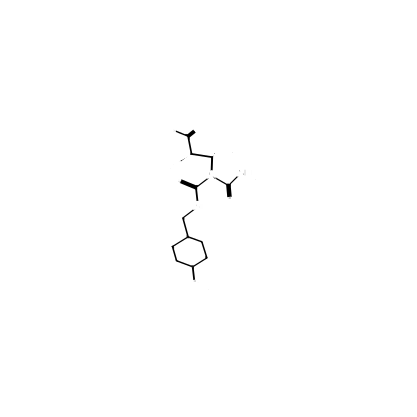 CC1CCC(CNC(=O)N(C(N)=O)[C@@H](C)[C@@H](C)C(=O)O)CC1